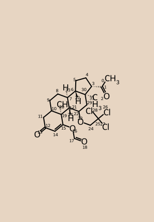 CC(=O)[C@H]1CC[C@H]2[C@@H]3CCC4CC(=O)C=C(OC=O)[C@]4(C)[C@H]3C(OCC(Cl)(Cl)Cl)C[C@]12C